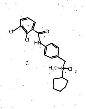 C[N+](C)(Cc1ccc(NC(=O)c2cccc(Cl)c2Cl)cc1)C1CCCCC1.[Cl-]